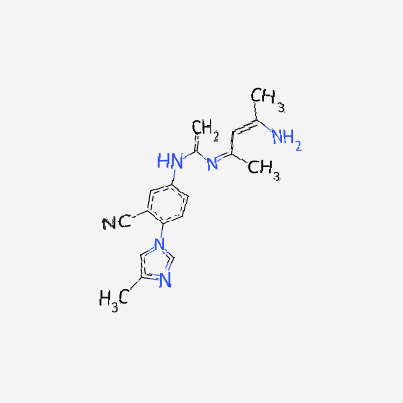 C=C(/N=C(C)\C=C(\C)N)Nc1ccc(-n2cnc(C)c2)c(C#N)c1